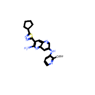 COc1ncccc1Nc1cnc2cc(-c3nnc(C4CCCC4)s3)c(N)nc2c1